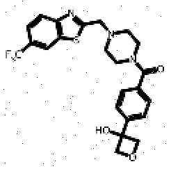 O=C(c1ccc(C2(O)COC2)cc1)N1CCN(Cc2nc3ccc(C(F)(F)F)cc3s2)CC1